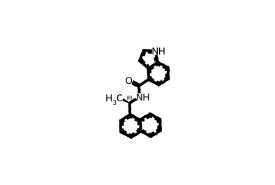 C[C@@H](NC(=O)c1cccc2[nH]ccc12)c1cccc2ccccc12